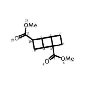 COC(=O)C12C3C4C1C1C2C3C41C(=O)OC